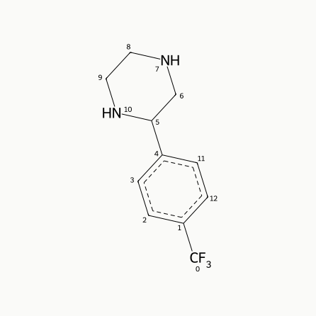 FC(F)(F)c1ccc(C2CNCCN2)cc1